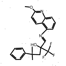 COc1ccc2c(N=CC(O)(CC(C)(C)c3ccccc3)C(F)(F)F)cccc2n1